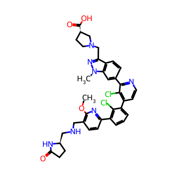 COc1nc(-c2cccc(-c3ccnc(-c4ccc5c(CN6CC[C@H](C(=O)O)C6)nn(C)c5c4)c3Cl)c2Cl)ccc1CNC[C@H]1CCC(=O)N1